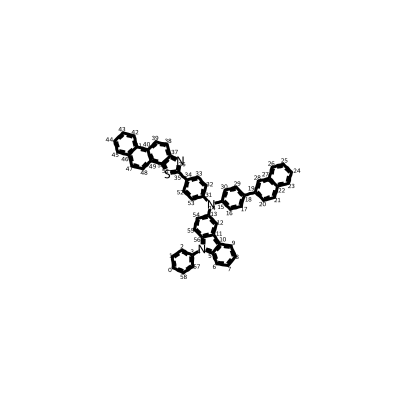 c1ccc(-n2c3ccccc3c3cc(N(c4ccc(-c5ccc6ccccc6c5)cc4)c4ccc(-c5nc6ccc7c8ccccc8ccc7c6s5)cc4)ccc32)cc1